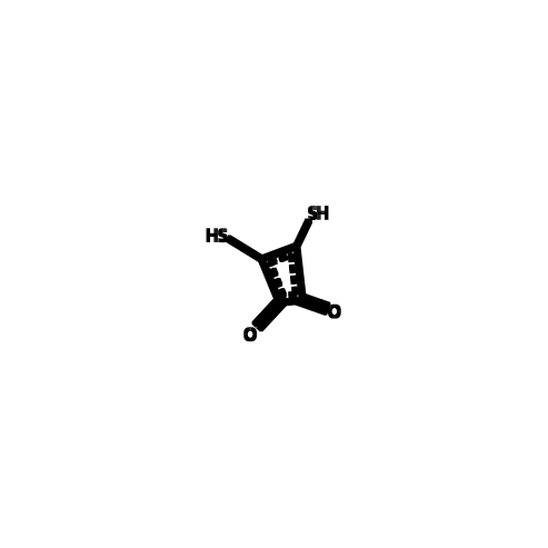 O=c1c(S)c(S)c1=O